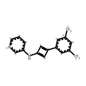 FC(F)(F)c1cc(C2=CC(Nc3cccnc3)=C2)cc(C(F)(F)F)c1